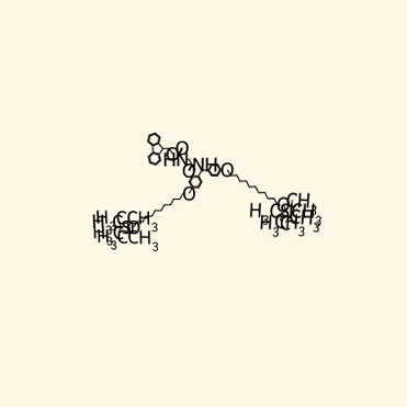 CC(C)[Si](OCCCCCCCCCCCOc1ccc(C(NC(=O)CNC(=O)OCC2c3ccccc3-c3ccccc32)c2ccc(OCCCCCCCCCCCO[Si](C(C)C)(C(C)C)C(C)C)cc2)cc1)(C(C)C)C(C)C